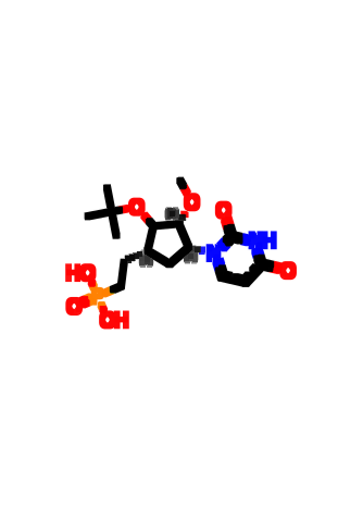 CO[C@H]1C(OC(C)(C)C)[C@@H](CCP(=O)(O)O)C[C@H]1n1ccc(=O)[nH]c1=O